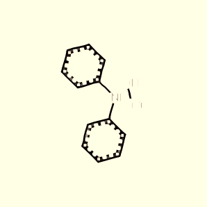 CC(C)O.c1ccc(Nc2ccccc2)cc1